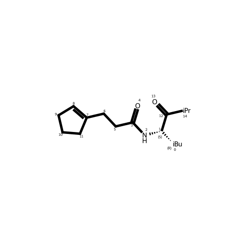 CC[C@@H](C)[C@H](NC(=O)CCC1=CCCC1)C(=O)C(C)C